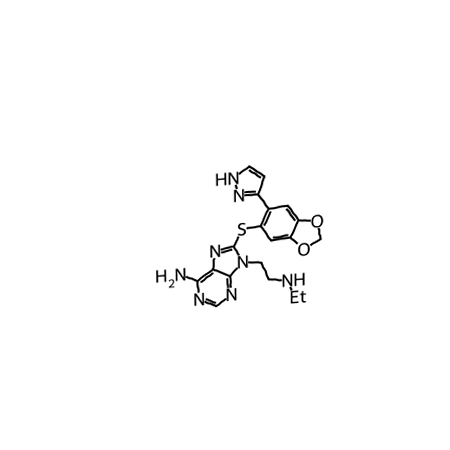 CCNCCn1c(Sc2cc3c(cc2-c2cc[nH]n2)OCO3)nc2c(N)ncnc21